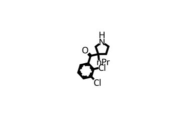 CCCC1(C(=O)c2cccc(Cl)c2Cl)CCNC1